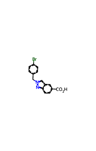 O=C(O)c1ccc2nn(Cc3ccc(Br)cc3)cc2c1